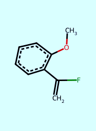 C=C(F)c1ccccc1OC